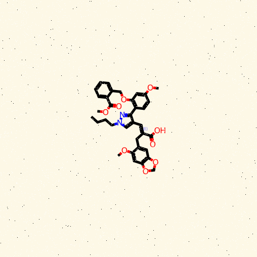 CCCCn1cc(/C=C(\Cc2cc3c(cc2OC)OCO3)C(=O)O)c(-c2ccc(OC)cc2OCc2ccccc2C(=O)OC)n1